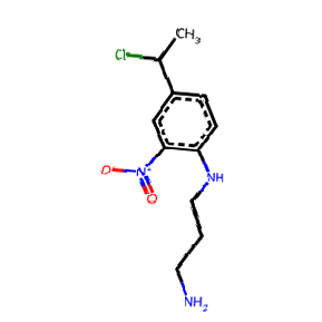 CC(Cl)c1ccc(NCCCN)c([N+](=O)[O-])c1